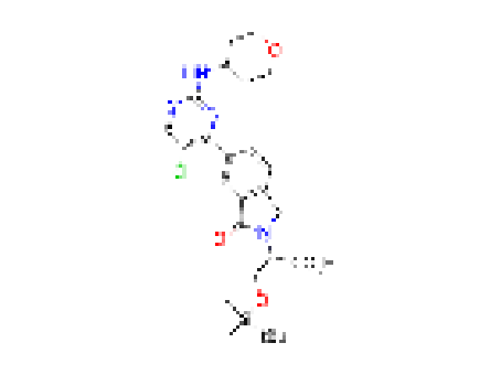 CC(C)(C)[Si](C)(C)OCC(C(=O)O)N1Cc2ccc(-c3nc(NC4CCOCC4)ncc3Cl)cc2C1=O